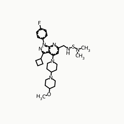 COC1CCN(C2CCN(c3cc(CNSN(C)C)nc4c3c(C3CCC3)nn4-c3ccc(F)cc3)CC2)CC1